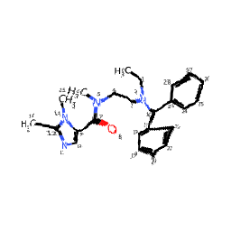 CCN(CCN(C)C(=O)c1cnc(C)n1C)C(c1ccccc1)c1ccccc1